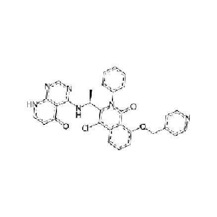 C[C@H](Nc1ncnc2[nH]ccc(=O)c12)c1c(Cl)c2cccc(OCc3ccncc3)c2c(=O)n1-c1ccccc1